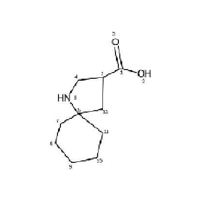 O=C(O)C1CNC2(CCCCC2)C1